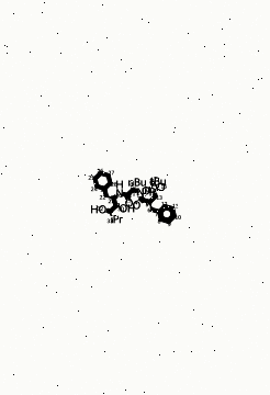 CCCC[C@H](NC(=O)[C@H](Cc1ccccc1)CS(=O)(=O)C(C)(C)C)C(=O)N[C@H](CC1CCCCC1)[C@H](O)[C@@H](O)C(C)C